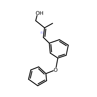 C/C(=C\c1cccc(Oc2ccccc2)c1)CO